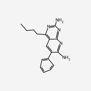 CCCCc1nc(N)nc2nc(N)c(-c3ccccc3)cc12